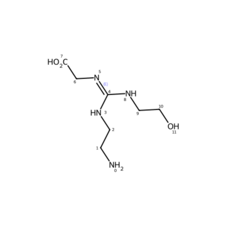 NCCN/C(=N\CC(=O)O)NCCO